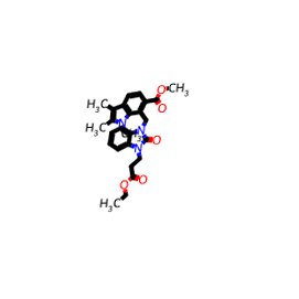 CCOC(=O)CCn1c(=O)n(Cc2c(C(=O)OC)ccc3c(C)c(C)n(C)c23)c2ccccc21